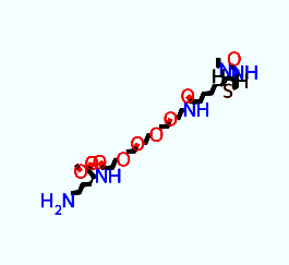 CCN1C(=O)N[C@H]2CS[C@@H](CCCCC(=O)NCCOCCOCCOCCOCCC(=O)N[C@@H](CCCCN)C(=O)OC)[C@H]21